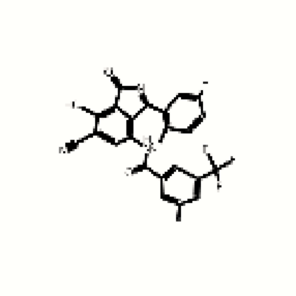 N#Cc1cc(NC(=O)c2cc(F)cc(C(F)(F)F)c2)c2c(c1O)C(=O)N=C2c1cc(F)ccc1Cl